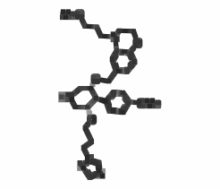 COCCCN1CCOc2ccc(CO[C@H]3CNC[C@@H](OCCCn4cncn4)[C@@H]3c3ccc(OC)cc3)cc21